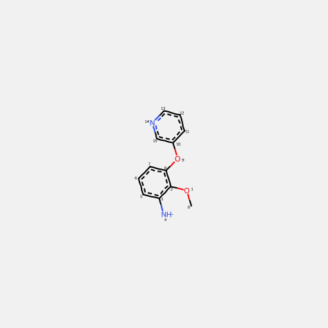 COc1c([NH])cccc1Oc1cccnc1